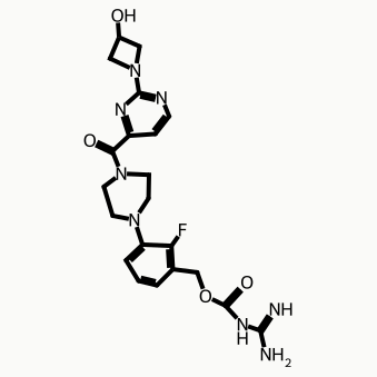 N=C(N)NC(=O)OCc1cccc(N2CCN(C(=O)c3ccnc(N4CC(O)C4)n3)CC2)c1F